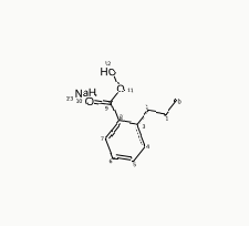 CCCc1ccccc1C(=O)OO.[NaH]